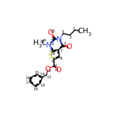 CCCCn1c(=O)c2cc(C(=O)OCc3ccccc3)sc2n(C)c1=O